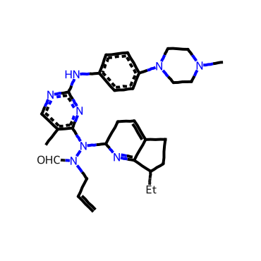 C=CCN(C=O)N(c1nc(Nc2ccc(N3CCN(C)CC3)cc2)ncc1C)C1CC=C2CCC(CC)C2=N1